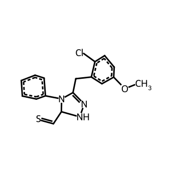 COc1ccc(Cl)c(CC2=NNC(C=S)N2c2ccccc2)c1